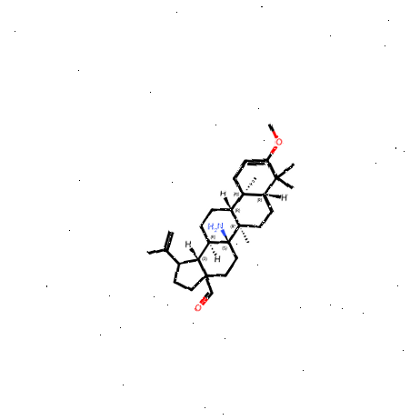 C=C(C)C1CCC2(C=O)CC[C@]3(N)[C@H](CC[C@@H]4[C@@]5(C)CC=C(OC)C(C)(C)[C@@H]5CC[C@]43C)[C@@H]12